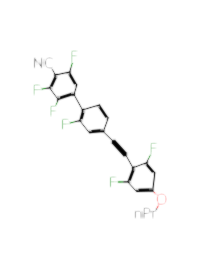 CCCOc1cc(F)c(C#Cc2ccc(-c3cc(F)c(C#N)c(F)c3F)c(F)c2)c(F)c1